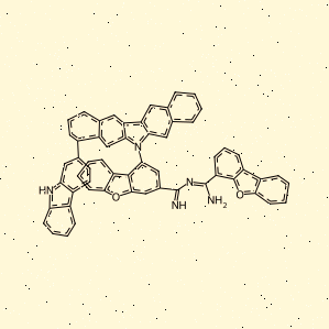 N=C(/N=C(\N)c1cccc2c1oc1ccccc12)c1cc(-n2c3cc4ccccc4cc3c3cc4cccc(-c5ccc6c(c5)[nH]c5ccccc56)c4cc32)c2c(c1)oc1ccccc12